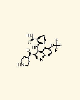 O=C(O)c1ccccc1Nc1c(C(=O)N2CCNCC2)cnc2ccc(OC(F)(F)F)cc12